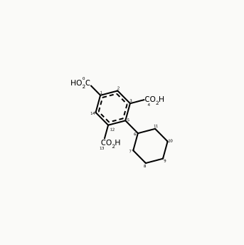 O=C(O)c1cc(C(=O)O)c(C2CCCCC2)c(C(=O)O)c1